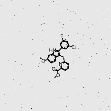 COC(=O)c1cccc(Cc2c(-c3cc(F)cc(Cl)c3)[nH]c3cc(OC)ccc23)n1